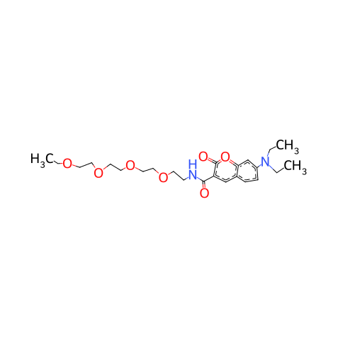 CCOCCOCCOCCOCCNC(=O)c1cc2ccc(N(CC)CC)cc2oc1=O